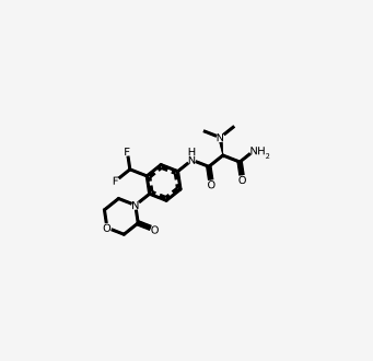 CN(C)[C@@H](C(N)=O)C(=O)Nc1ccc(N2CCOCC2=O)c(C(F)F)c1